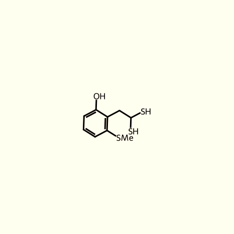 CSc1cccc(O)c1CC(S)S